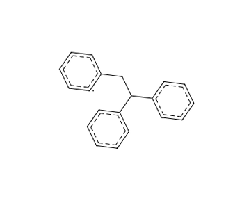 [c]1ccccc1CC(c1ccccc1)c1ccccc1